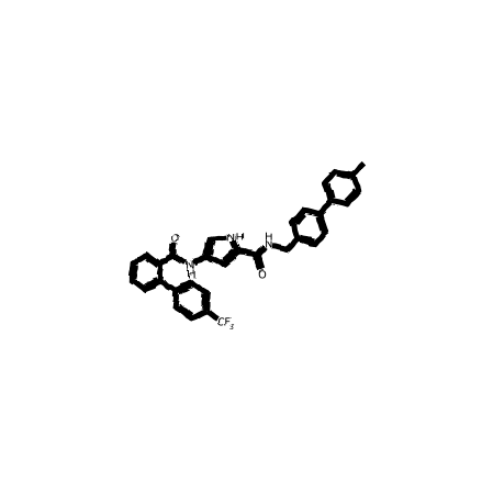 Cc1ccc(-c2ccc(CNC(=O)c3cc(NC(=O)c4ccccc4-c4ccc(C(F)(F)F)cc4)c[nH]3)cc2)cc1